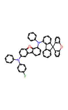 Fc1ccc(N(c2ccccc2)c2ccc3oc4c(N(c5ccccc5)c5cccc6c5-c5ccccc5C65c6ccccc6Oc6ccccc65)cccc4c3c2)cc1